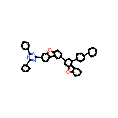 c1ccc(-c2ccc(-c3cc(-c4ccc5oc6cc(-c7nc(-c8ccccc8)nc(-c8ccccc8)n7)ccc6c5c4)cc4oc5ccccc5c34)cc2)cc1